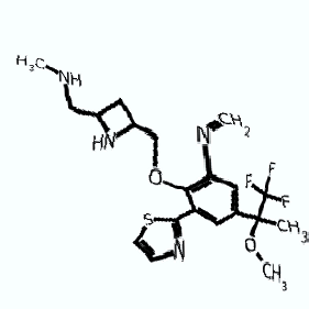 C=Nc1cc(C(C)(OC)C(F)(F)F)cc(-c2nccs2)c1OCC1CC(CNC)N1